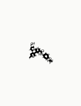 Cc1ccc(-c2cc(C(=O)Nc3ccc(OC(F)(F)F)cc3)cnc2N2CC[C@H](CO)C2)cn1